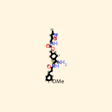 COc1cccc(CCC(=O)Nc2sc3c(c2N)CCC(COC(=O)NCc2cc(C)no2)C3)c1